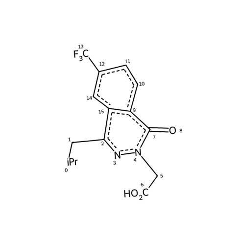 CC(C)Cc1nn(CC(=O)O)c(=O)c2ccc(C(F)(F)F)cc12